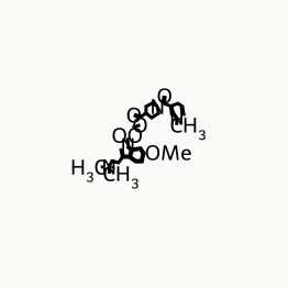 COc1ccc2c(CCN(C)C)cn(C(=O)OCOC(=O)C3CCN(C(=O)C4=CN(C)C=CC4)CC3)c2c1